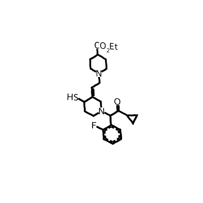 CCOC(=O)C1CCN(C/C=C2\CN(C(C(=O)C3CC3)c3ccccc3F)CCC2S)CC1